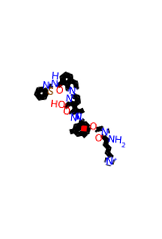 Cc1c(-c2ccc(N3CCc4cccc(C(=O)Nc5nc6ccccc6s5)c4C3)nc2C(=O)O)cnn1CC12CC3(C)CC(C)(C1)CC(OCCN(C)C(=O)[C@@H](N)CCCC[N+](C)(C)C)(C3)C2